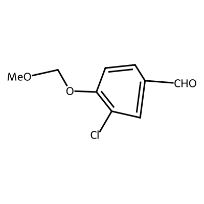 COCOc1ccc(C=O)cc1Cl